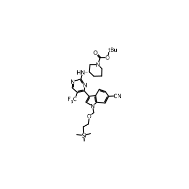 CC(C)(C)OC(=O)N1CCC[C@H](Nc2ncc(C(F)(F)F)c(-c3cn(COCC[Si](C)(C)C)c4cc(C#N)ccc34)n2)C1